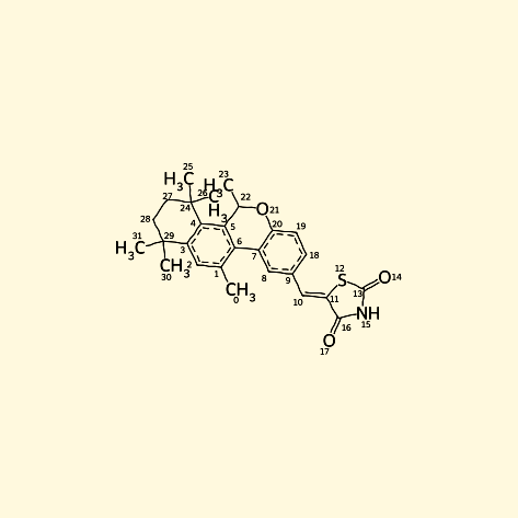 Cc1cc2c(c3c1-c1cc(/C=C4\SC(=O)NC4=O)ccc1OC3C)C(C)(C)CCC2(C)C